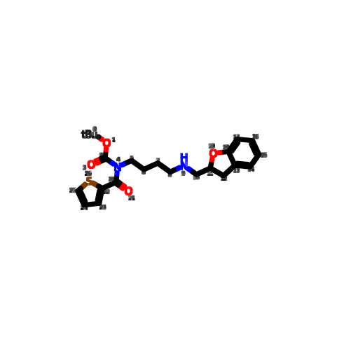 CC(C)(C)OC(=O)N(CCCCNCC1Cc2ccccc2O1)C(=O)c1cccs1